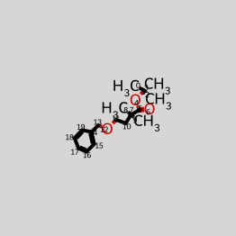 CC(C)(C)OC(=O)C(C)(C)CCOCc1ccccc1